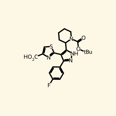 CC(C)(C)OC(=O)N1CCCCC1c1[nH]nc(-c2ccc(F)cc2)c1-c1nc(C(=O)O)cs1